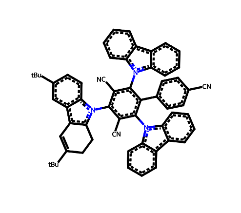 CC(C)(C)C1=Cc2c(n(-c3c(C#N)c(-n4c5ccccc5c5ccccc54)c(-c4ccc(C#N)cc4)c(-n4c5ccccc5c5ccccc54)c3C#N)c3ccc(C(C)(C)C)cc23)CC1